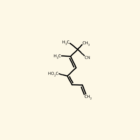 C=C/C=C(\C=C(/C)C(C)(C)C#N)C(=O)O